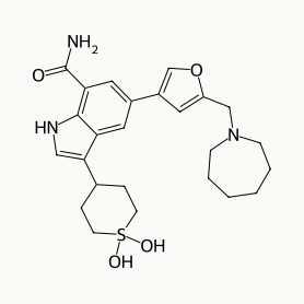 NC(=O)c1cc(-c2coc(CN3CCCCCC3)c2)cc2c(C3CCS(O)(O)CC3)c[nH]c12